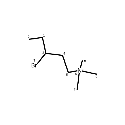 CCC(Br)CC[N+](C)(C)C